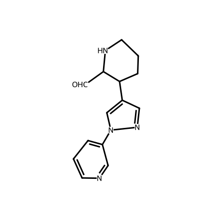 O=CC1NCCCC1c1cnn(-c2cccnc2)c1